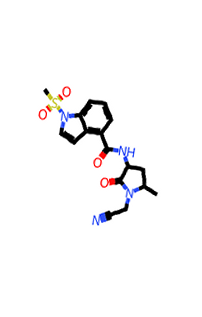 CC1CC(NC(=O)c2cccc3c2ccn3S(C)(=O)=O)C(=O)N1CC#N